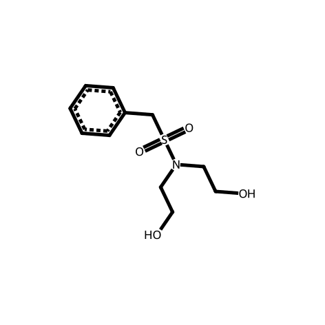 O=S(=O)(Cc1ccccc1)N(CCO)CCO